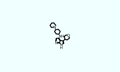 c1cc(N[C@H]2CC[C@H](N3CCCCC3)CC2)c2c(C3CCOCC3)c[nH]c2n1